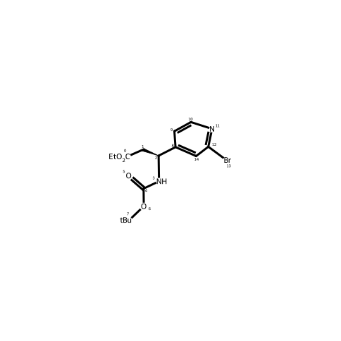 CCOC(=O)C[C@H](NC(=O)OC(C)(C)C)c1ccnc(Br)c1